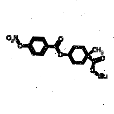 CC(C)(C)OC(=O)[C@]1(C)CC[C@@H](OC(=O)c2ccc(O[N+](=O)[O-])cc2)CC1